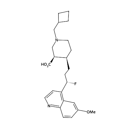 COc1ccc2nccc([C@@H](F)CC[C@@H]3CCN(CC4CCC4)C[C@@H]3C(=O)O)c2c1